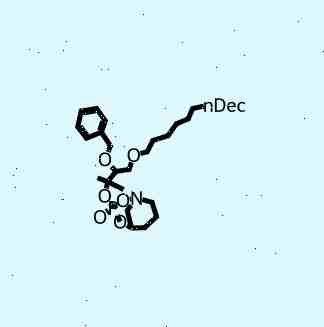 CCCCCCCCCCCCCCCCOCC(OCc1ccccc1)C(C)(C)OP1(=O)OC2CCCN(C2)O1